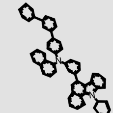 C1=CCC(n2c3ccccc3c3c(-c4cccc(N(c5ccc(-c6cccc(-c7ccccc7)c6)cc5)c5cccc6ccccc56)c4)cc4ccccc4c32)C=C1